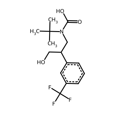 CC(C)(C)N(CC(CO)c1cccc(C(F)(F)F)c1)C(=O)O